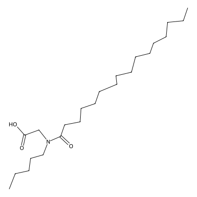 CCCCCCCCCCCCCCCC(=O)N(CCCCC)CC(=O)O